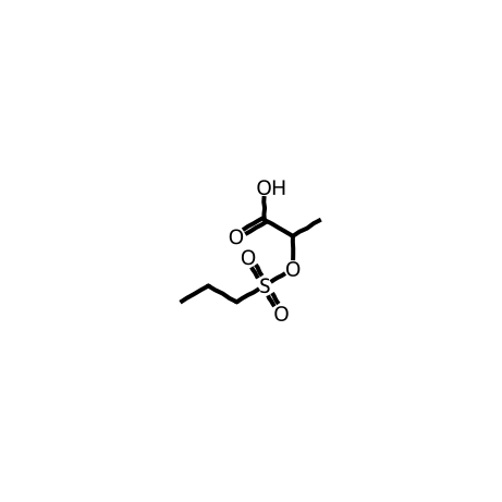 CCCS(=O)(=O)OC(C)C(=O)O